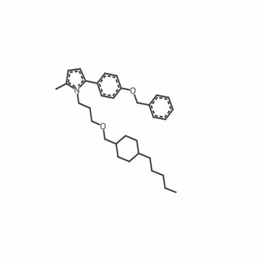 CCCCCC1CCC(COCCCn2c(C)ccc2-c2ccc(OCc3ccccc3)cc2)CC1